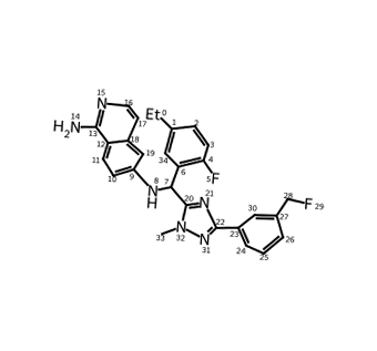 CCc1ccc(F)c(C(Nc2ccc3c(N)nccc3c2)c2nc(-c3cccc(CF)c3)nn2C)c1